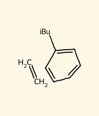 C=C.CCC(C)c1ccccc1